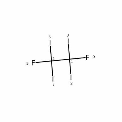 FC(I)(I)C(F)(I)I